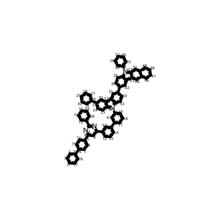 c1ccc(-c2ccc(-c3cc(-c4cccc(-c5cccc(-n6c7ccc(-c8ccccc8)cc7c7cc(-c8ccc9c(c8)c8cc%10ccccc%10cc8n9-c8ccccc8)ccc76)c5)c4)nc(-c4ccccc4)n3)cc2)cc1